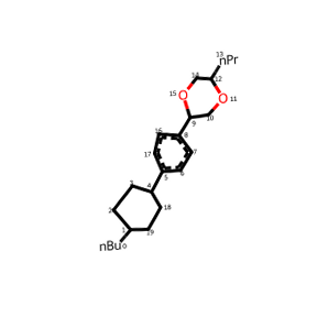 CCCCC1CCC(c2ccc(C3COC(CCC)CO3)cc2)CC1